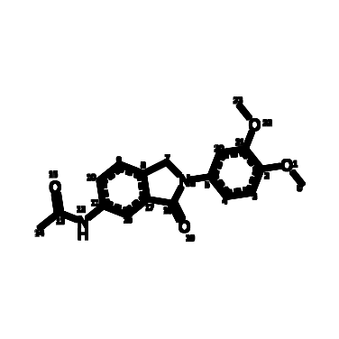 COc1ccc(N2Cc3ccc(NC(C)=O)cc3C2=O)cc1OC